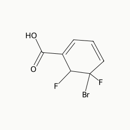 O=C(O)C1=CC=CC(F)(Br)C1F